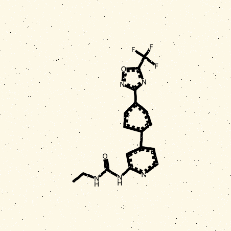 CCNC(=O)Nc1cc(-c2ccc(-c3noc(C(F)(F)F)n3)cc2)ccn1